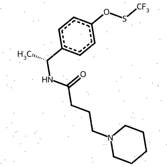 C[C@@H](NC(=O)CCCN1CCCCC1)c1ccc(OSC(F)(F)F)cc1